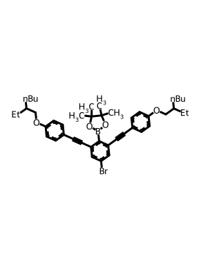 CCCCC(CC)COc1ccc(C#Cc2cc(Br)cc(C#Cc3ccc(OCC(CC)CCCC)cc3)c2B2OC(C)(C)C(C)(C)O2)cc1